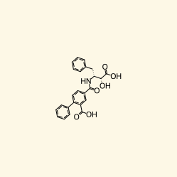 O=C(N[C@H](Cc1ccccc1)[C@@H](O)C(=O)O)c1ccc(-c2ccccc2)c(C(=O)O)c1